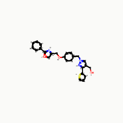 OCc1cn(Cc2ccc(OCc3coc(-c4ccccc4)n3)cc2)nc1-c1cccs1